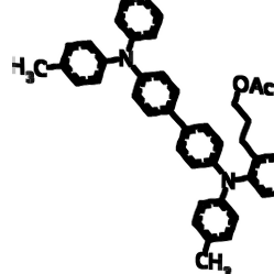 CC(=O)OCCCc1ccccc1N(c1ccc(C)cc1)c1ccc(-c2ccc(N(c3ccccc3)c3ccc(C)cc3)cc2)cc1